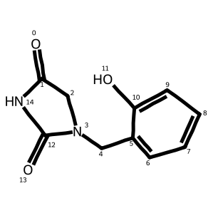 O=C1CN(Cc2ccccc2O)C(=O)N1